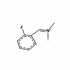 C[N+](C)=Cc1ccccc1F